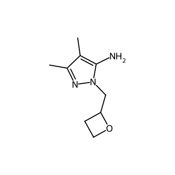 Cc1nn(CC2CCO2)c(N)c1C